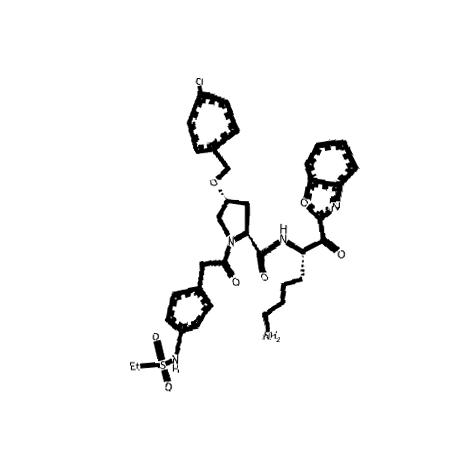 CCS(=O)(=O)Nc1ccc(CC(=O)N2C[C@H](OCc3ccc(Cl)cc3)C[C@H]2C(=O)N[C@@H](CCCCN)C(=O)c2nc3ccccc3o2)cc1